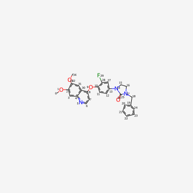 COc1cc2nccc(Oc3ccc(N4CCN(Cc5ccccc5)C4=O)cc3F)c2cc1OC